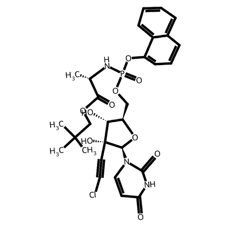 C[C@H](NP(=O)(OC[C@H]1O[C@@H](n2ccc(=O)[nH]c2=O)[C@@](O)(C#CCl)[C@@H]1O)Oc1cccc2ccccc12)C(=O)OCC(C)(C)C